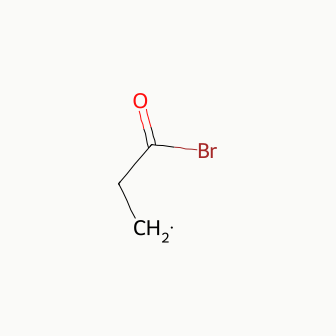 [CH2]CC(=O)Br